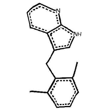 Cc1cccc(C)c1Cc1c[nH]c2ncccc12